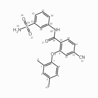 Cc1cc(F)ccc1Oc1cc(C#N)ccc1C(=O)Nc1cccc(S(N)(=O)=O)c1